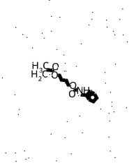 C=C(C)C(=O)OCCCCOC(=O)NCC1CC2CCC1C2